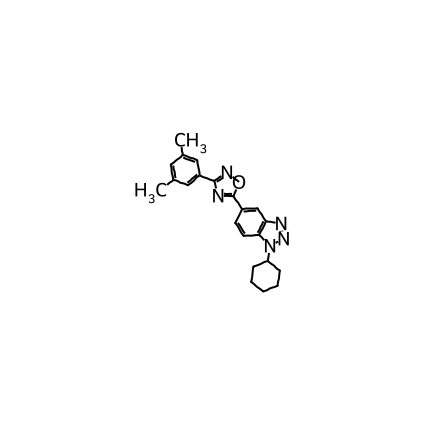 Cc1cc(C)cc(-c2noc(-c3ccc4c(c3)nnn4C3CCCCC3)n2)c1